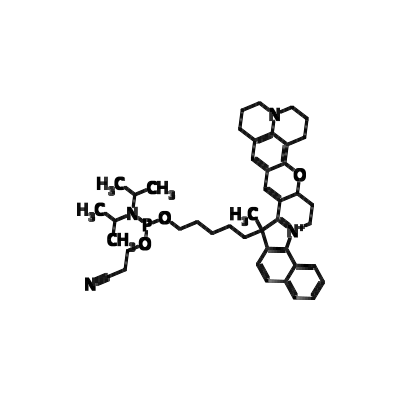 CC(C)N(C(C)C)P(OCCC#N)OCCCCCC1(C)C2=[N+](CCC3Oc4c(cc5c6c4CCCN6CCC5)C=C23)c2c1ccc1ccccc21